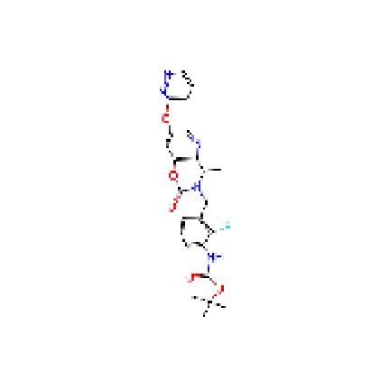 CC1c2ncc(Oc3cccnn3)cc2OC(=O)N1Cc1cccc(NC(=O)OC(C)(C)C)c1F